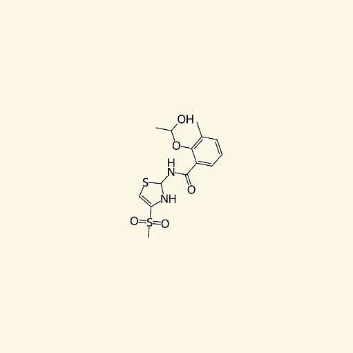 Cc1cccc(C(=O)NC2NC(S(C)(=O)=O)=CS2)c1OC(C)O